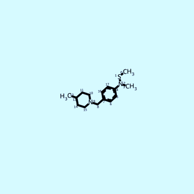 CSN(C)c1ccc(CN2CCC(C)CC2)cc1